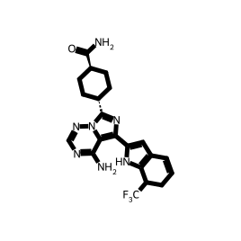 Nc1ncnn2c1c(-c1cc3c([nH]1)C(C(F)(F)F)CC=C3)nc2[C@H]1CC[C@H](C(N)=O)CC1